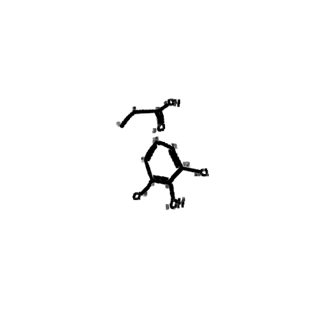 CCC(=O)O.Oc1c(Cl)cccc1Cl